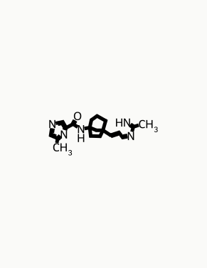 CC(=N)/N=C\C=C\C12CCCC(NC(=O)c3cncc(C)n3)(CC1)C2